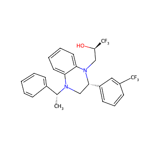 C[C@H](c1ccccc1)N1C[C@@H](c2cccc(C(F)(F)F)c2)N(C[C@@H](O)C(F)(F)F)c2ccccc21